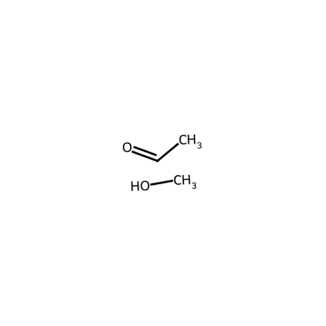 CC=O.CO